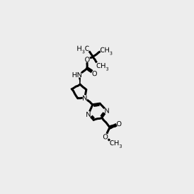 COC(=O)c1cnc(N2CC[C@@H](NC(=O)OC(C)(C)C)C2)cn1